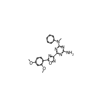 COc1ccc(-c2nc(-c3nc(N)nc(N(C)c4ccccc4)n3)no2)c(OC)c1